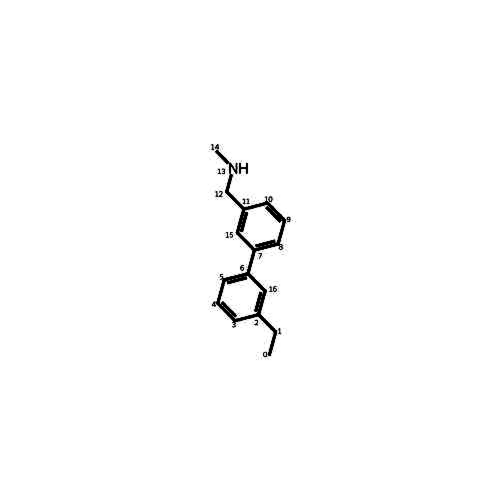 CCc1cccc(-c2cccc(CNC)c2)c1